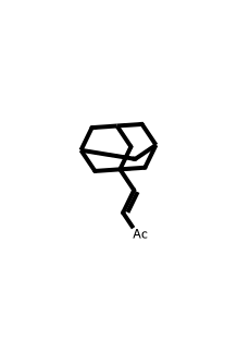 CC(=O)/C=C/C12CC3CC(CC(C3)C1)C2